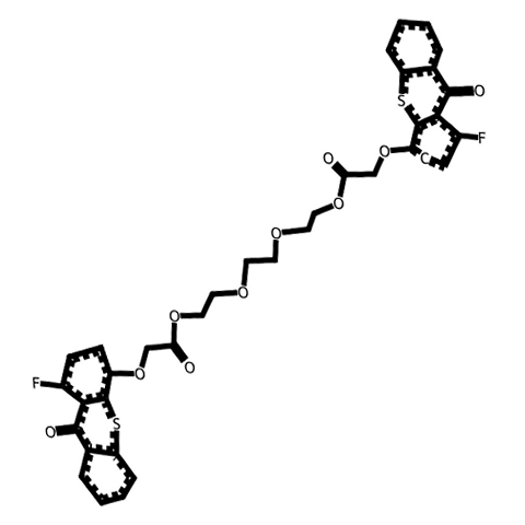 O=C(COc1ccc(F)c2c(=O)c3ccccc3sc12)OCCOCCOCCOC(=O)COc1ccc(F)c2c(=O)c3ccccc3sc12